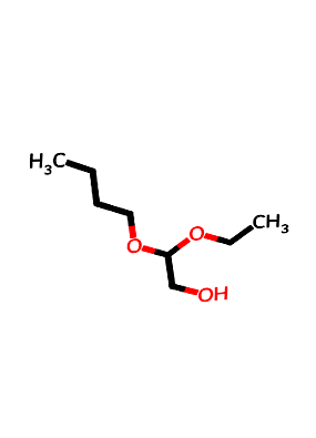 CCCCOC(CO)OCC